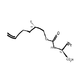 C=CCC[C@H](C)COC(=O)N[C@H](C(=O)O)C(C)C